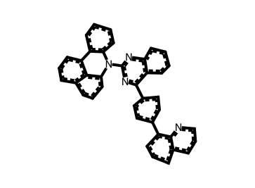 c1ccc2c(c1)-c1cccc3cccc(c13)N2c1nc(-c2ccc(-c3cccc4cccnc34)cc2)c2ccccc2n1